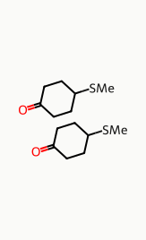 CSC1CCC(=O)CC1.CSC1CCC(=O)CC1